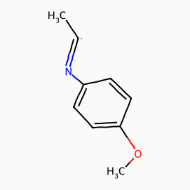 C[C]=Nc1ccc(OC)cc1